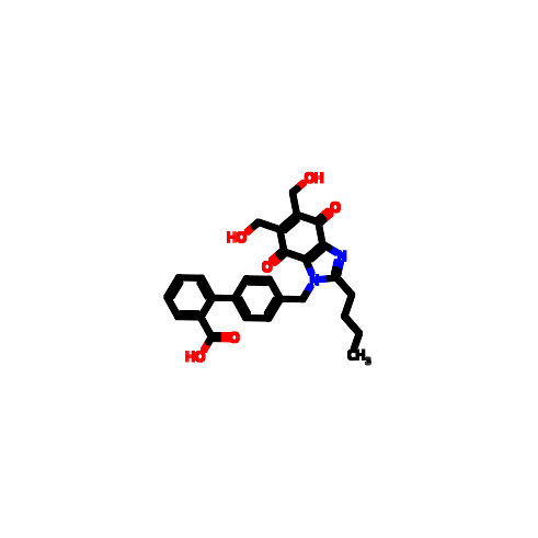 CCCCc1nc2c(n1Cc1ccc(-c3ccccc3C(=O)O)cc1)C(=O)C(CO)=C(CO)C2=O